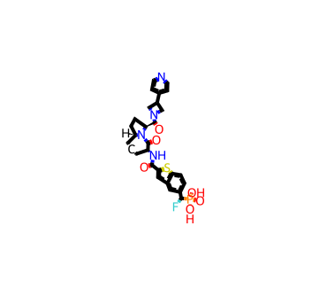 O=C(N[C@H]1CCC[C@H]2CC[C@@H](C(=O)N3CC(c4ccncc4)C3)N2C1=O)c1cc2cc(C(F)P(=O)(O)O)ccc2s1